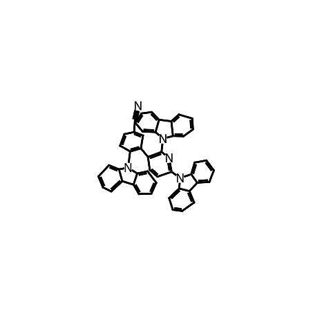 N#Cc1ccc(-n2c3ccccc3c3ccccc32)c(-c2ccc(-n3c4ccccc4c4ccccc43)nc2-n2c3ccccc3c3ccccc32)c1